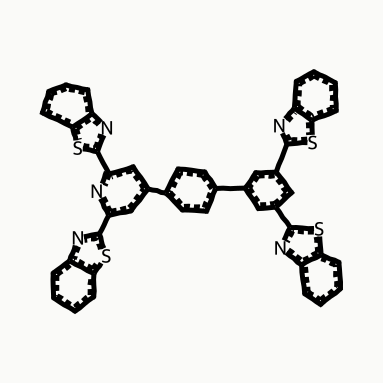 c1ccc2sc(-c3cc(-c4ccc(-c5cc(-c6nc7ccccc7s6)nc(-c6nc7ccccc7s6)c5)cc4)cc(-c4nc5ccccc5s4)c3)nc2c1